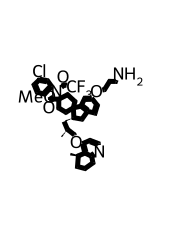 COC(=O)C1(N(C(=O)C(F)(F)F)c2cccc(Cl)c2)CCC2(CC1)c1cc(OCCCN)ccc1C[C@@H]2C[C@@H](C)COc1ccnc2c1[C@H](C)CCC2